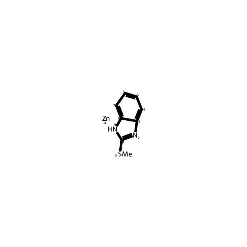 CSc1nc2ccccc2[nH]1.[Zn]